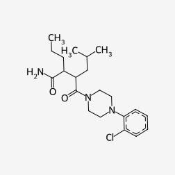 CCCC(C(N)=O)C(CC(C)C)C(=O)N1CCN(c2ccccc2Cl)CC1